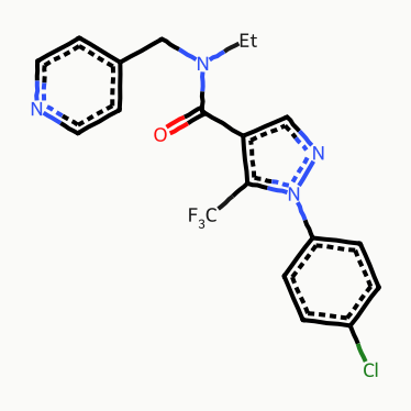 CCN(Cc1ccncc1)C(=O)c1cnn(-c2ccc(Cl)cc2)c1C(F)(F)F